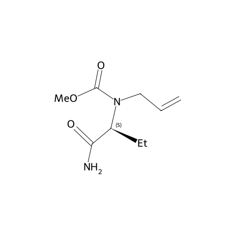 C=CCN(C(=O)OC)[C@@H](CC)C(N)=O